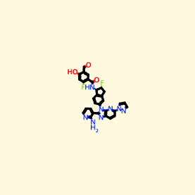 Nc1ncccc1-c1nc2ccc(-n3cccn3)nc2n1-c1ccc2c(c1)C[C@H](F)[C@@H]2NC(=O)c1cc(C=O)c(O)cc1F